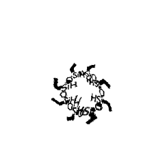 CC[SiH]1O[SiH](CC)O[SiH](CC)O[SiH](CC)O[SiH](CC)O[SiH](CC)O[SiH](CC)O[SiH](CC)O1